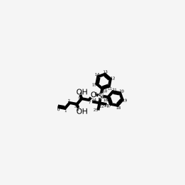 C=CCC(O)C(O)CO[Si](c1ccccc1)(c1ccccc1)C(C)(C)C